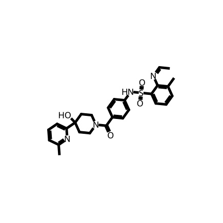 C/C=N\c1c(C)cccc1S(=O)(=O)Nc1ccc(C(=O)N2CCC(O)(c3cccc(C)n3)CC2)cc1